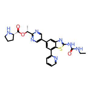 CCNC(=O)Nc1nc2cc(-c3cnc([C@@H](C)OC(=O)[C@@H]4CCCN4)nc3)cc(-c3ccccn3)c2s1